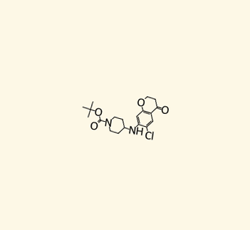 CC(C)(C)OC(=O)N1CCC(Nc2cc3c(cc2Cl)C(=O)CCO3)CC1